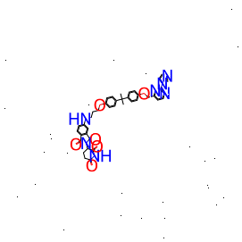 CC(C)(c1ccc(OCCCNc2ccc3c(c2)C(=O)N(C2CCC(=O)NC2=O)C3=O)cc1)c1ccc(OCc2ccnc(-n3ccnc3)n2)cc1